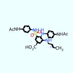 C/C=C/CNc1cc(C(=O)O)cc(S(=O)(=O)Nc2ccc(NC(C)=O)cc2)c1Nc1ccc(NC(C)=O)cc1